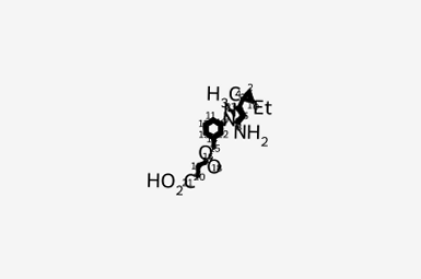 CCC1=C[C@]1(C)c1cc(N)n(-c2cccc(COC(=O)CCC(=O)O)c2)n1